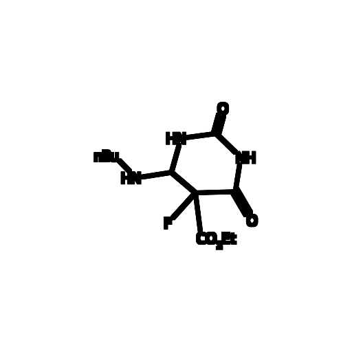 CCCCNC1NC(=O)NC(=O)C1(F)C(=O)OCC